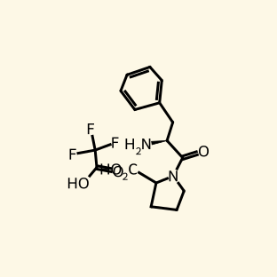 N[C@@H](Cc1ccccc1)C(=O)N1CCCC1C(=O)O.O=C(O)C(F)(F)F